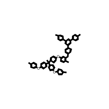 Cc1ccc(Oc2ccc(C(C)(c3ccc(Oc4ccc(C)cc4)cc3)c3ccc(Oc4ccc(C)c(Cc5ccc(-c6cc(-c7ccc(C)cc7)cc(-c7ccc(C)cc7)c6)cc5)c4)cc3)cc2)cc1